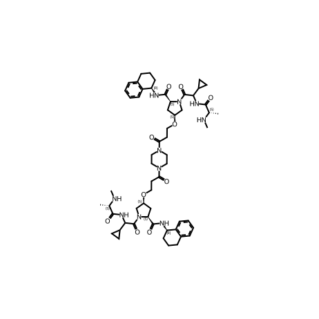 CN[C@@H](C)C(=O)NC(C(=O)N1C[C@@H](OCCC(=O)N2CCN(C(=O)CCO[C@H]3C[C@@H](C(=O)N[C@@H]4CCCc5ccccc54)N(C(=O)C(NC(=O)[C@H](C)NC)C4CC4)C3)CC2)C[C@H]1C(=O)N[C@@H]1CCCc2ccccc21)C1CC1